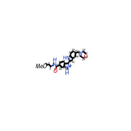 COCCNC(=O)c1ccc2c(-c3cc4cc(CN5CCOCC5)ccc4[nH]3)n[nH]c2c1